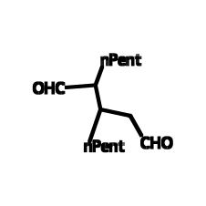 CCCCCC(C=O)C(CC=O)CCCCC